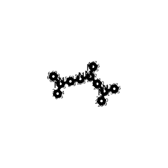 c1ccc(-c2cc(-c3ccc(-c4ccc(-c5cc(-c6ccc(-c7nc(-c8ccccc8)cc(-c8ccccc8)n7)cc6)cc(-c6ccccn6)n5)nc4)cc3)nc(-c3ccccc3)n2)cc1